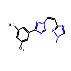 Cn1cnc(/C=C\n2cnc(-c3cc(C=O)cc(C(F)(F)F)c3)n2)n1